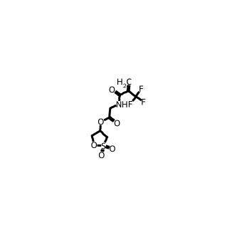 C=C(C(=O)NCC(=O)OC1COS(=O)(=O)C1)C(F)(F)F